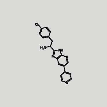 NC(Cc1ccc(Cl)cc1)c1nc2cc(-c3ccncc3)cnc2[nH]1